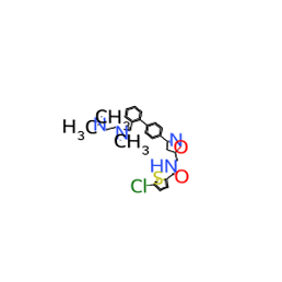 CN(C)CCN(C)Cc1ccccc1-c1ccc(C2=NOC(CNC(=O)c3ccc(Cl)s3)C2)cc1